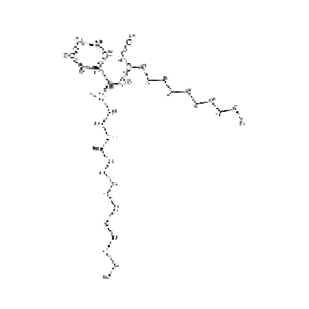 CCCCCCCCCCCCCCOC(=O)c1ccccc1C(=O)OCCCCCCCCCC